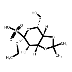 CCO[C@]1(S(=O)(=O)O)O[C@H](CO)[C@@H]2OC(C)(C)O[C@@H]2[C@H]1O